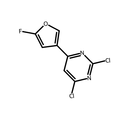 Fc1cc(-c2cc(Cl)nc(Cl)n2)co1